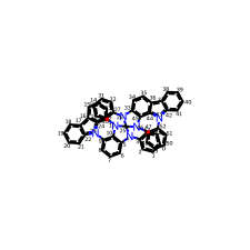 c1ccc(N2c3cccc4c3N(c3cccc5c6ccccc6n-4c35)C23N(c2ccccc2)c2ccc4c5ccccc5n5c4c2N3c2ccccc2-5)cc1